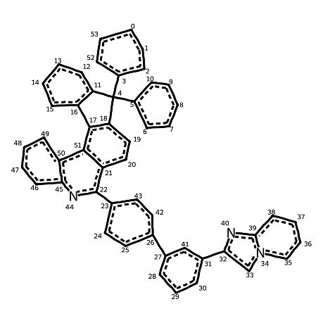 c1ccc(C2(c3ccccc3)c3ccccc3-c3c2ccc2c(-c4ccc(-c5cccc(-c6cn7ccccc7n6)c5)cc4)nc4ccccc4c32)cc1